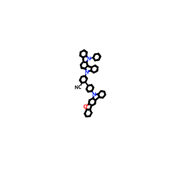 N#Cc1ccc(-n2c3ccccc3c3c2ccc2c4ccccc4n(-c4ccccc4)c23)cc1-c1ccc(-n2c3ccccc3c3cc4c(cc32)oc2ccccc24)cc1